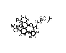 COc1c(F)cccc1C1OC(CCCS(=O)(=O)O)c2cccn2-c2ccc(Cl)cc21